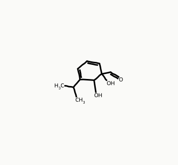 CC(C)C1=CC=CC(O)(C=O)C1O